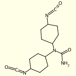 NC(=O)N(C1CCC(N=C=O)CC1)C1CCC(N=C=O)CC1